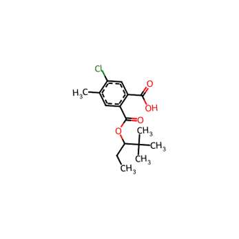 CCC(OC(=O)c1cc(C)c(Cl)cc1C(=O)O)C(C)(C)C